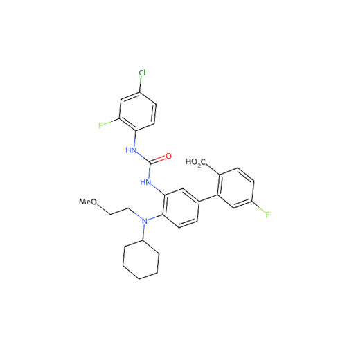 COCCN(c1ccc(-c2cc(F)ccc2C(=O)O)cc1NC(=O)Nc1ccc(Cl)cc1F)C1CCCCC1